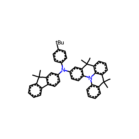 CC(C)(C)c1ccc(N(c2ccc3c(c2)C(C)(C)c2ccccc2-3)c2ccc3c(c2)C(C)(C)c2cccc4c2N3c2ccccc2C4(C)C)cc1